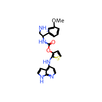 COc1cccc(C(CN)NC(=O)Oc2ccsc2Nc2ccnc3[nH]ccc23)c1